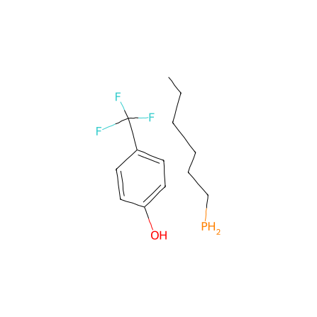 CCCCCCP.Oc1ccc(C(F)(F)F)cc1